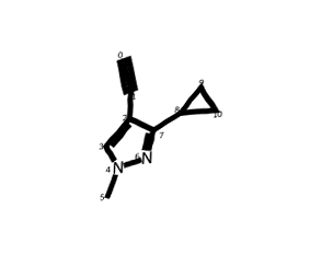 C#Cc1cn(C)nc1C1CC1